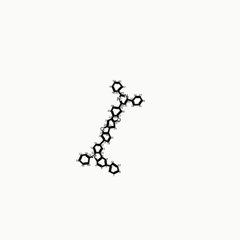 c1ccc(-c2ccc3c(c2)c2cc(-c4ccc5c(c4)oc4cc6c(cc45)oc4cc(-c5cc(-c7ccccc7)nc(-c7ccccc7)n5)ccc46)ccc2n3-c2ccccc2)cc1